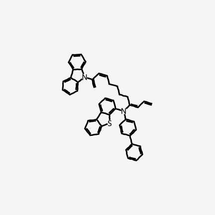 C=C/C=C(\CCCC/C=C\C(=C)n1c2ccccc2c2ccccc21)N(c1ccc(-c2ccccc2)cc1)c1cccc2c1sc1ccccc12